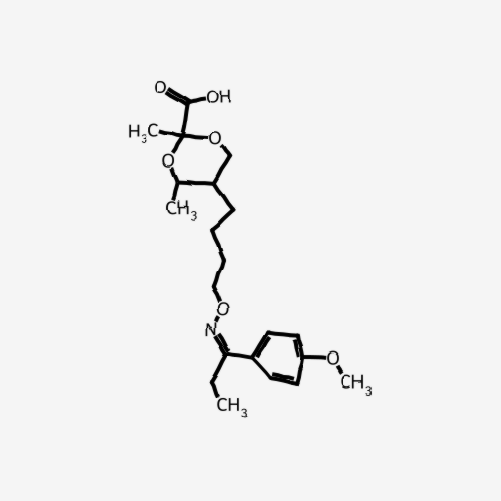 CCC(=NOCCCCC1COC(C)(C(=O)O)OC1C)c1ccc(OC)cc1